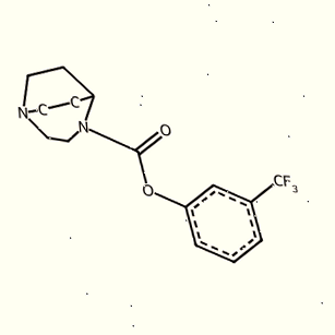 O=C(Oc1cccc(C(F)(F)F)c1)N1CCN2CCC1CC2